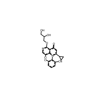 N#Cc1cccc(Cl)c1-n1c(C2CC2)cc(=O)c2c(OCC(O)CO)ncc(Cl)c21